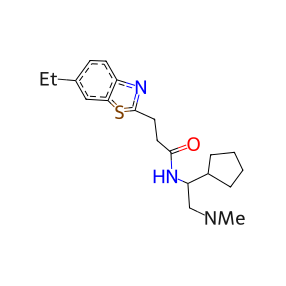 CCc1ccc2nc(CCC(=O)NC(CNC)C3CCCC3)sc2c1